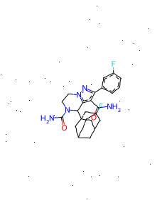 NC(=O)c1c(-c2cccc(F)c2)nn2c1C(C13CC4CC(CC(F)(C4)C1)C3)N(C(N)=O)CC2